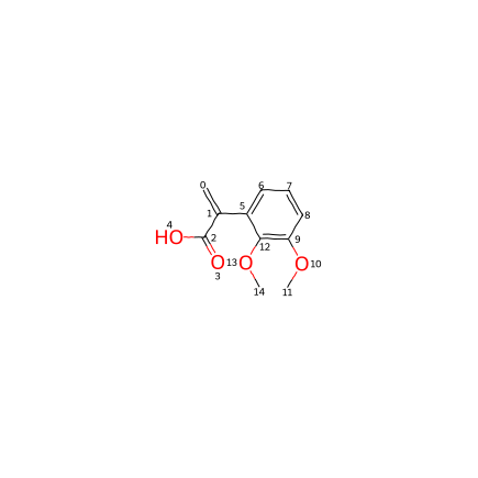 C=C(C(=O)O)c1cccc(OC)c1OC